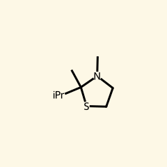 CC(C)C1(C)SCCN1C